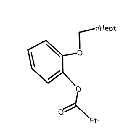 C[CH]C(=O)Oc1ccccc1OCCCCCCCC